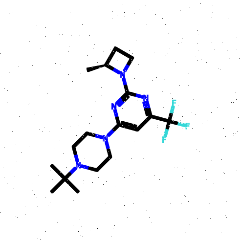 C[C@H]1CCN1c1nc(N2CCN(C(C)(C)C)CC2)cc(C(F)(F)F)n1